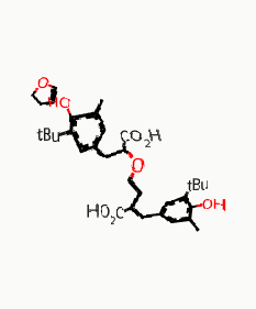 C1=COCC1.Cc1cc(CC(CCOC(Cc2cc(C)c(O)c(C(C)(C)C)c2)C(=O)O)C(=O)O)cc(C(C)(C)C)c1O